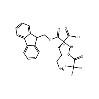 NCCC[C@](NOC(=O)C(F)(F)F)(C(=O)O)C(=O)OCC1c2ccccc2-c2ccccc21